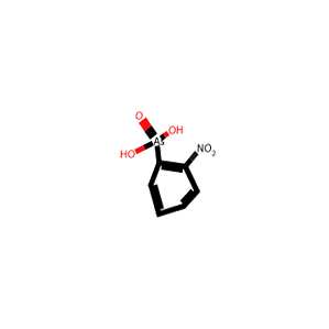 O=[N+]([O-])c1ccc[c]c1[As](=O)(O)O